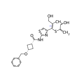 C=C(CO)S/C(=C(\C)CO)c1csc(NC(=O)[C@H]2C[C@@H](OCc3ccccc3)C2)n1